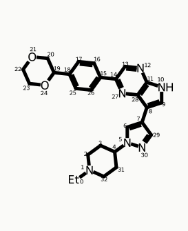 CCN1CCC(n2cc(-c3c[nH]c4ncc(-c5ccc(C6COCCO6)cc5)nc34)cn2)CC1